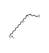 CCCCCCCCCCOCCC=C=CCCCCl